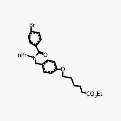 CCCN(Cc1ccc(OCCCCCC(=O)OCC)cc1)C(=O)c1ccc(Br)cc1